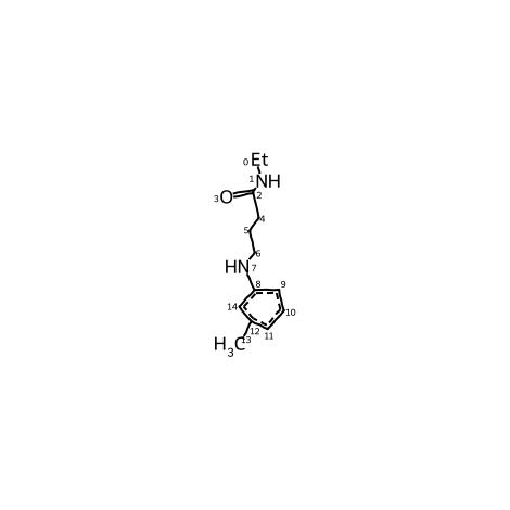 CCNC(=O)CCCNc1cccc(C)c1